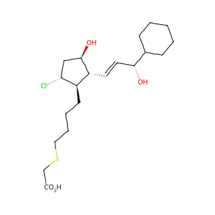 O=C(O)CSCCCC[C@@H]1[C@@H](/C=C/[C@@H](O)C2CCCCC2)[C@H](O)C[C@H]1Cl